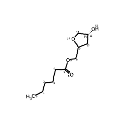 CCCCCC(=O)OCC1C[C@@H](O)CO1